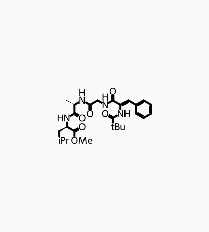 COC(=O)[C@@H](CC(C)C)NC(=O)[C@H](C)NC(=O)CNC(=O)/C(=C/c1ccccc1)NC(=O)C(C)(C)C